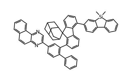 C[Si]1(C)c2ccccc2-c2ccc(-c3cccc4c3-c3cccc(-c5cc(-c6cnc7c(ccc8ccccc87)n6)ccc5-c5ccccc5)c3C43C4CC5CC(C4)CC3C5)cc21